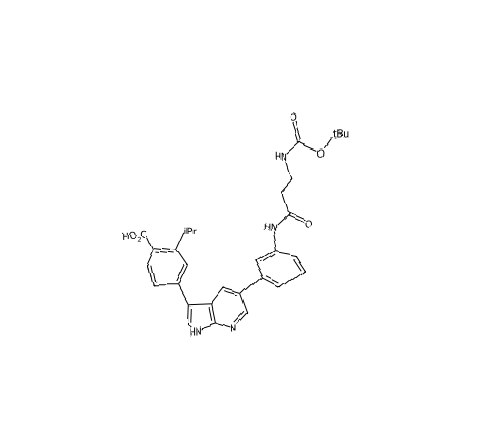 CC(C)c1cc(-c2c[nH]c3ncc(-c4cccc(NC(=O)CCNC(=O)OC(C)(C)C)c4)cc23)ccc1C(=O)O